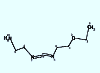 CCOCCN=C=NCCN